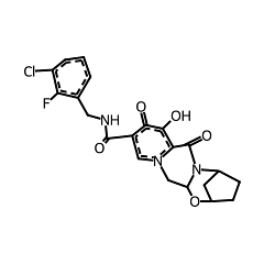 O=C(NCc1cccc(Cl)c1F)c1cn2c(c(O)c1=O)C(=O)N1C3CCC(C3)OC1C2